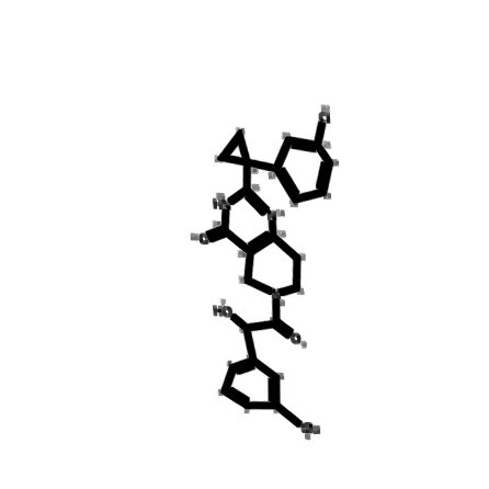 CC(C)(C)c1cccc(C(O)C(=O)N2CCc3nc(C4(c5cccc(Cl)c5)CC4)[nH]c(=O)c3C2)c1